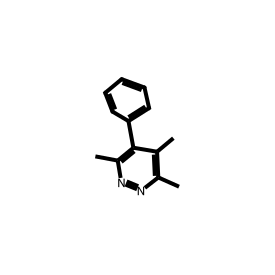 Cc1nnc(C)c(-c2ccccc2)c1C